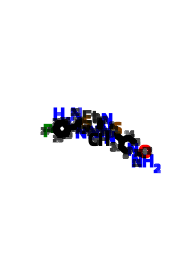 CCc1nc2sc(C3CCN(C(N)=O)CC3)nn2c1N(C)c1nc(-c2ccc(F)cc2)c(N)s1